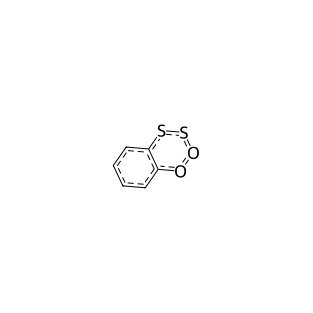 c1ccc2ssooc2c1